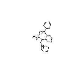 CC(CN1CCCCC1)c1ccccc1C(=O)c1ccccc1